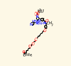 COC(=O)CCCCCOCCOCCOCCCCCCOc1ccc(C(C)NC(=O)c2cccc(NC3(c4nnc(-c5ccncc5)[nH]4)CCN(C(=O)OC(C)(C)C)CC3)c2)cc1